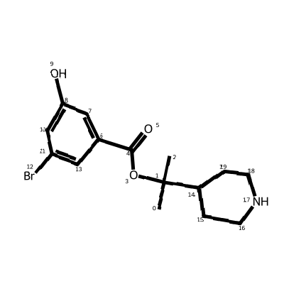 CC(C)(OC(=O)c1cc(O)cc(Br)c1)C1CCNCC1